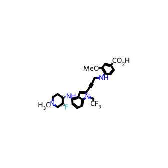 COc1cc(C(=O)O)ccc1NCC#Cc1cc2c(N[C@H]3CCN(C)C[C@H]3F)cccc2n1CC(F)(F)F